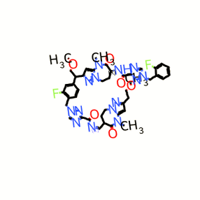 COCCc1cc2n(n1)CCC(/C=N\C(=O)c1ncn(Cc3ccc(C(COC)c4cc5n(n4)CC[C@@H](NC(=O)c4ncn(Cc6ccccc6F)n4)C(=O)N5C)cc3F)n1)C(=O)N2C